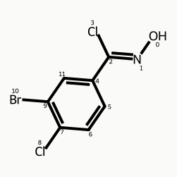 ON=C(Cl)c1ccc(Cl)c(Br)c1